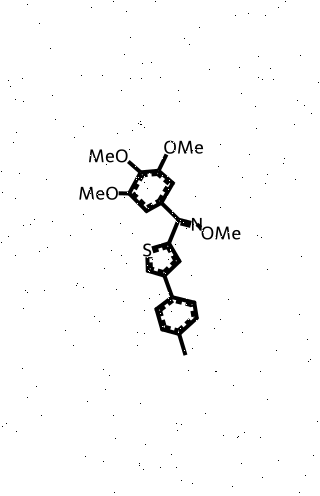 CON=C(c1cc(OC)c(OC)c(OC)c1)c1cc(-c2ccc(C)cc2)cs1